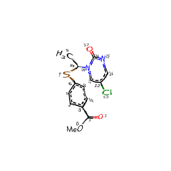 COC(=O)c1ccc(SC(C)n2cc(Cl)cnc2=O)cc1